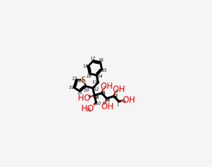 OC[C@H](O)[C@@H](O)[C@H](O)[C@](O)(CO)C(Cc1ccccc1)c1cccs1